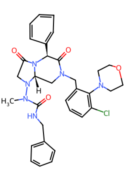 CN(C(=O)NCc1ccccc1)N1CC(=O)N2[C@@H](c3ccccc3)C(=O)N(Cc3cccc(Cl)c3N3CCOCC3)C[C@@H]21